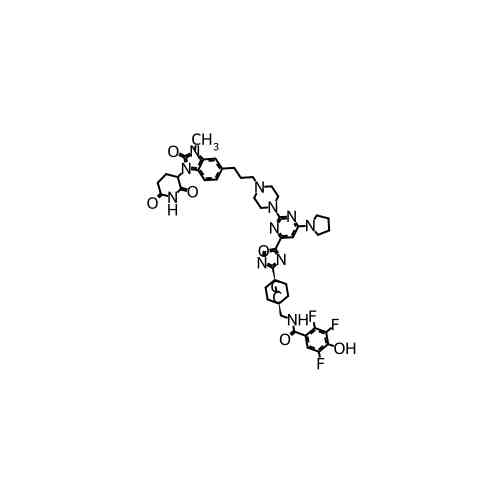 Cn1c(=O)n(C2CCC(=O)NC2=O)c2ccc(CCCN3CCN(c4nc(-c5nc([C@]67CC[C@](CNC(=O)c8cc(F)c(O)c(F)c8F)(CC6)CC7)no5)cc(N5CCCC5)n4)CC3)cc21